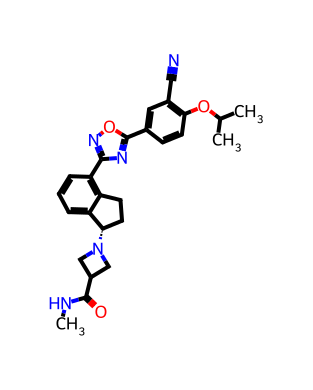 CNC(=O)C1CN([C@H]2CCc3c(-c4noc(-c5ccc(OC(C)C)c(C#N)c5)n4)cccc32)C1